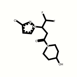 O=C(CC(C(F)F)n1ccc(Cl)n1)N1CCC(O)CC1